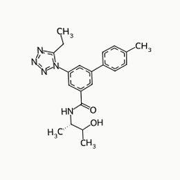 CCc1nnnn1-c1cc(C(=O)N[C@@H](C)C(C)O)cc(-c2ccc(C)cc2)c1